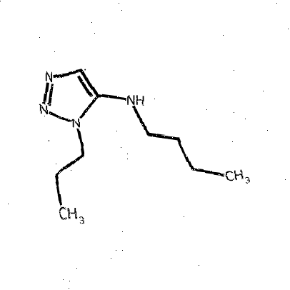 CCCCNc1[c]nnn1CCC